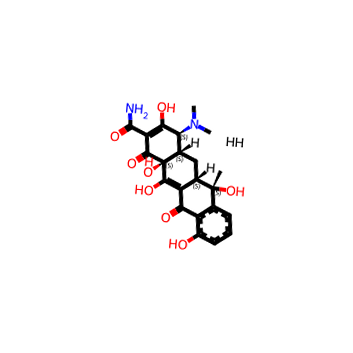 CN(C)[C@@H]1C(O)=C(C(N)=O)C(=O)[C@@]2(O)C(O)=C3C(=O)c4c(O)cccc4[C@@](C)(O)[C@H]3C[C@@H]12.[HH]